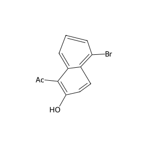 CC(=O)c1c(O)ccc2c(Br)cccc12